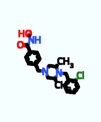 CC1CN(Cc2ccc(C(=O)NO)cc2)CC(C)N1Cc1ccccc1Cl